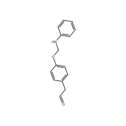 O=CCc1ccc(OCNc2ccccc2)cc1